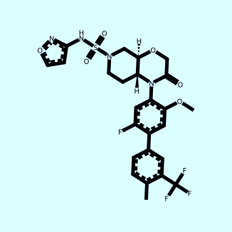 COc1cc(-c2ccc(C)c(C(F)(F)F)c2)c(F)cc1N1C(=O)CO[C@@H]2CN(S(=O)(=O)Nc3ccon3)CC[C@H]21